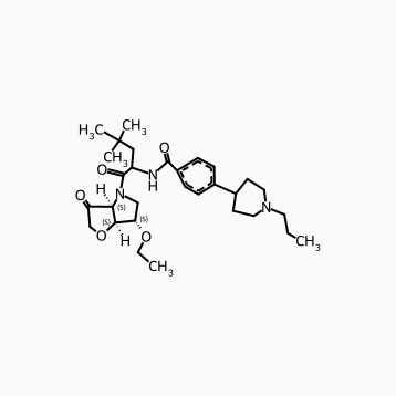 CCCN1CCC(c2ccc(C(=O)NC(CC(C)(C)C)C(=O)N3C[C@H](OCC)[C@H]4OCC(=O)[C@H]43)cc2)CC1